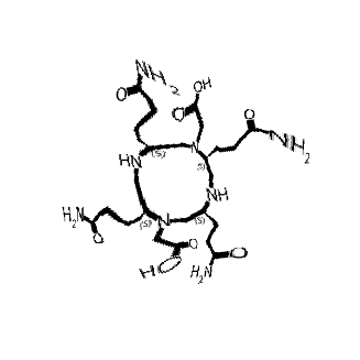 NC(=O)CC[C@H]1CN(CC(=O)O)[C@@H](CCC(N)=O)CN[C@@H](CCC(N)=O)CN(CC(=O)O)[C@@H](CCC(N)=O)CN1